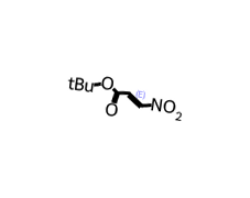 CC(C)(C)OC(=O)/C=C/[N+](=O)[O-]